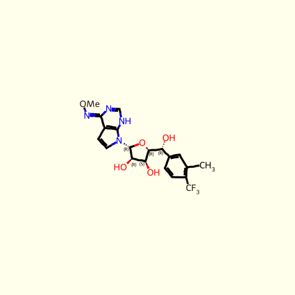 CON=c1nc[nH]c2c1ccn2[C@@H]1O[C@H]([C@H](O)c2ccc(C(F)(F)F)c(C)c2)[C@@H](O)[C@H]1O